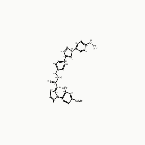 COc1ccc(-n2c(C)cs/c2=N\C(=S)NCc2ccc(-c3ncn(-c4ccc(OC(F)(F)F)cc4)n3)cc2)c(C(C)C)c1